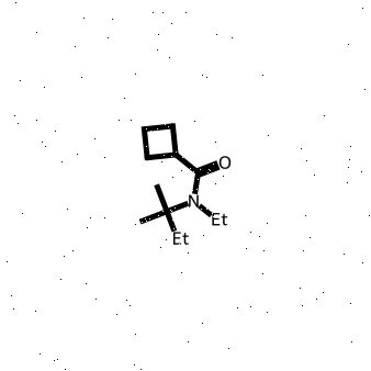 CCN(C(=O)C1CCC1)C(C)(C)CC